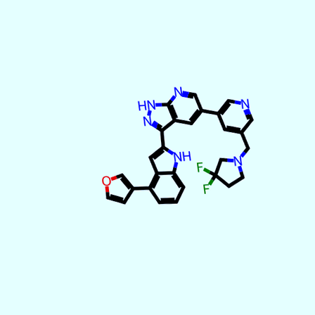 FC1(F)CCN(Cc2cncc(-c3cnc4[nH]nc(-c5cc6c(-c7ccoc7)cccc6[nH]5)c4c3)c2)C1